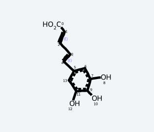 O=C(O)/C=C/C=C/c1cc(O)c(O)c(O)c1